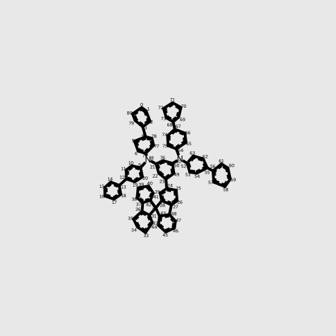 c1ccc(-c2ccc(N(c3ccc(-c4ccccc4)cc3)c3cc(-c4ccc5c(c4)C4(c6ccccc6-c6ccccc64)c4ccccc4-5)cc(N(c4ccc(-c5ccccc5)cc4)c4ccc(-c5ccccc5)cc4)c3)cc2)cc1